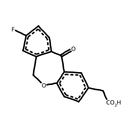 O=C(O)Cc1ccc2c(c1)C(=O)c1ccc(F)cc1CO2